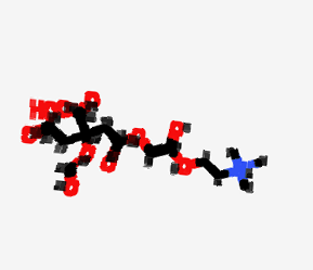 C[N+](C)(C)CCOC(=O)COC(=O)CC(CC(=O)O)(OC=O)C(=O)[O-]